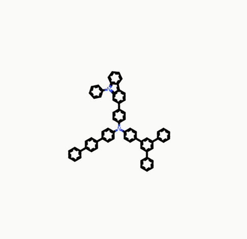 c1ccc(-c2ccc(-c3ccc(N(c4ccc(-c5cc(-c6ccccc6)cc(-c6ccccc6)c5)cc4)c4ccc(-c5ccc6c7ccccc7n(-c7ccccc7)c6c5)cc4)cc3)cc2)cc1